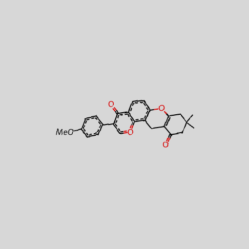 COc1ccc(-c2coc3c4c(ccc3c2=O)OC2=C(C4)C(=O)CC(C)(C)C2)cc1